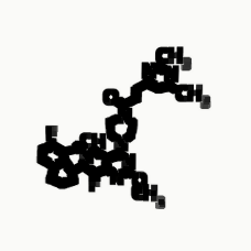 C#Cc1c(F)ccc2cccc(-c3ncc4c(N5CCN(C(=O)/C=C/c6cc(C)nc(C)n6)CC5)nc(OC)nc4c3F)c12